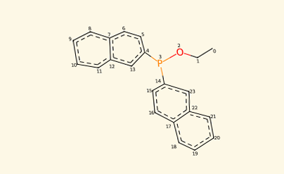 CCOP(c1ccc2ccccc2c1)c1ccc2ccccc2c1